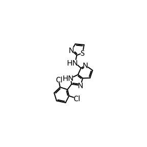 Clc1cccc(Cl)c1-c1nc2ccnc(Nc3nccs3)c2[nH]1